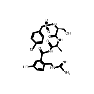 C[C@H](NC(=O)[C@H](CO)NS(=O)(=O)Cc1ccc(Cl)cc1)C(=O)NC(=O)c1cc(O)ccc1[CH]NC(=N)N